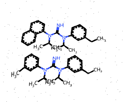 CCc1cccc(N(C(=N)N(c2cccc(C)c2)C(C)C)C(C)C)c1.CCc1cccc(N(C(=N)N(c2cccc3ccccc23)C(C)C)C(C)C)c1